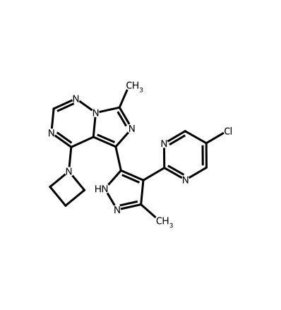 Cc1n[nH]c(-c2nc(C)n3ncnc(N4CCC4)c23)c1-c1ncc(Cl)cn1